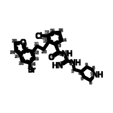 N=C(NCC1CCNCC1)NC(=O)c1cccc(Cl)c1CCc1cc(Br)cc2ccoc12